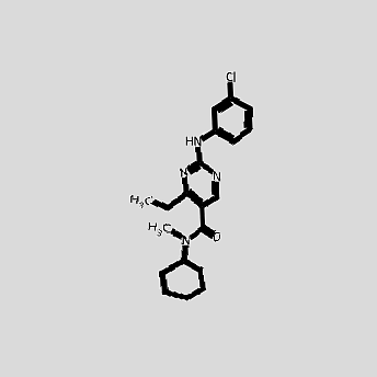 CCc1nc(Nc2cccc(Cl)c2)ncc1C(=O)N(C)C1CCCCC1